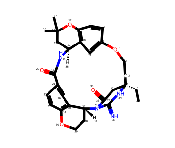 CC[C@]12CCOc3ccc4c(c3)[C@H](CC(C)(C)O4)NC(=O)c3ccc4c(c3)[C@@H](CCO4)N(C(=N)N1)C(=O)C2